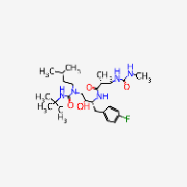 CNC(=O)NC[C@@H](C)C(=O)N[C@@H](Cc1ccc(F)cc1)[C@H](O)CN(CCC(C)C)C(=O)NC(C)(C)C